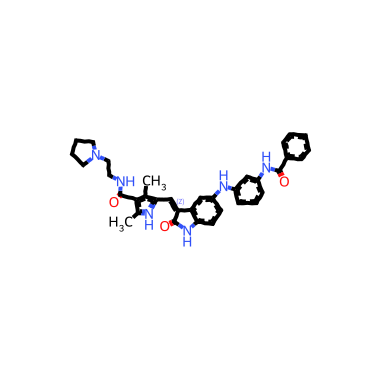 Cc1[nH]c(/C=C2\C(=O)Nc3ccc(Nc4cccc(NC(=O)c5ccccc5)c4)cc32)c(C)c1C(=O)NCCN1CCCC1